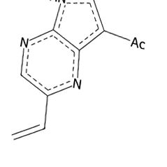 C=Cc1cnc2[nH]cc(C(C)=O)c2n1